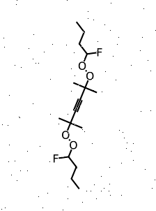 CCCC(F)OOC(C)(C)C#CC(C)(C)OOC(F)CCC